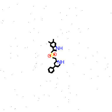 Cc1cc2[nH]cc(CS(=O)(=O)CCC3CC(c4ccccc4)=CCN3)c2cc1C